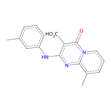 Cc1cccc(Nc2nc3c(C)cccn3c(=O)c2C(=O)O)c1